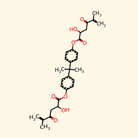 C=C(C)C(=O)CC(O)C(=O)Oc1ccc(C(C)(C)c2ccc(OC(=O)C(O)CC(=O)C(=C)C)cc2)cc1